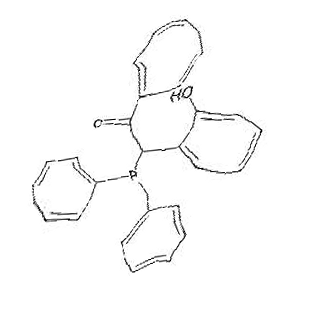 O=C(c1ccccc1)C(c1ccccc1O)P(c1ccccc1)c1ccccc1